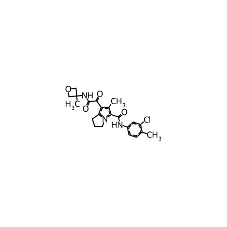 Cc1ccc(NC(=O)c2c(C)c(C(=O)C(=O)NC3(C)COC3)c3n2CCC3)cc1Cl